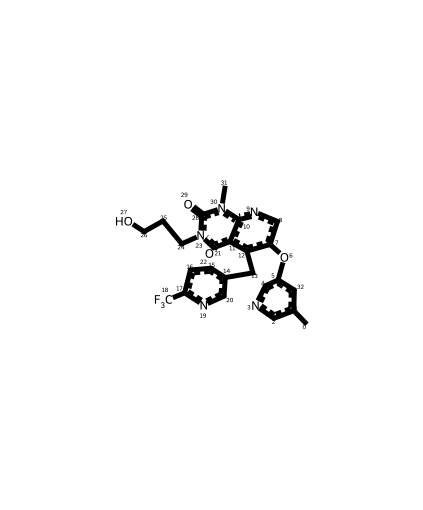 Cc1cncc(Oc2cnc3c(c2Cc2ccc(C(F)(F)F)nc2)c(=O)n(CCCO)c(=O)n3C)c1